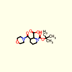 CC(C)(C)OC(=O)N1CCCC(C(=O)N2CCOCC2)C1C(=O)O